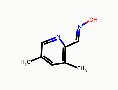 Cc1cnc(/C=N/O)c(C)c1